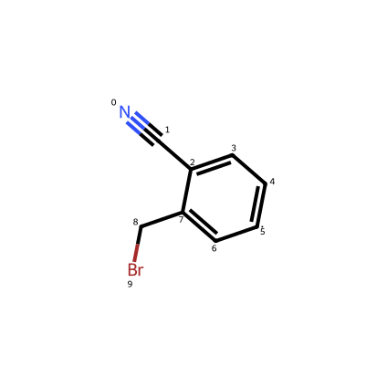 N#Cc1cc[c]cc1CBr